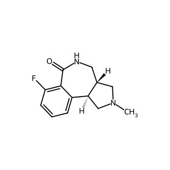 CN1C[C@H]2CNC(=O)c3c(F)cccc3[C@@H]2C1